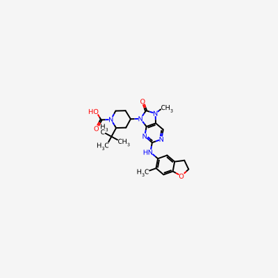 Cc1cc2c(cc1Nc1ncc3c(n1)n(C1CCN(C(=O)O)C(C(C)(C)C)C1)c(=O)n3C)CCO2